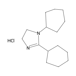 C1CCC(C2=NCCN2C2CCCCC2)CC1.Cl